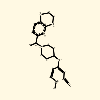 CN/C=C\C(=C/C=O)OC1CCN(C(C)c2ccc3c(n2)OCCO3)CC1